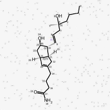 CCCC[C@](C)(O)C/C=C/[C@@H]1[C@H]2CC(CCCC(N)=O)=C[C@H]2C[C@H]1O